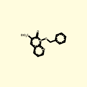 CCOC(=O)c1cc2cccnc2n(OCc2ccccc2)c1=O